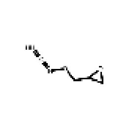 N=C=NOCC1CO1